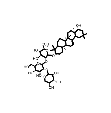 CC1(C)CC2C3=CCC4[C@@]5(C)CC[C@H](OC6O[C@H](C(=O)O)[C@@H](O)[C@H](O)[C@H]6OC6O[C@H](CO)[C@H](O)[C@H](O)[C@H]6OC6OC[C@H](O)[C@@H](O)[C@H]6O)C(C)(C)C5CC[C@@]4(C)[C@]3(C)CC[C@@]2(C)[C@H](O)C1